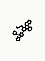 C/C=C\C=C/c1cc(-c2ccc3c4ccccc4n(-c4ccccc4)c3c2)cc2c3ccccc3c3c4ccccc4ccc3c12